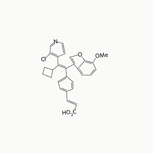 COc1cccc2c(C(=C(c3ccncc3Cl)C3CCC3)c3ccc(C=CC(=O)O)cc3)coc12